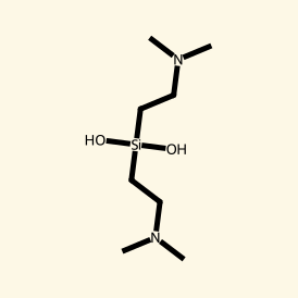 CN(C)CC[Si](O)(O)CCN(C)C